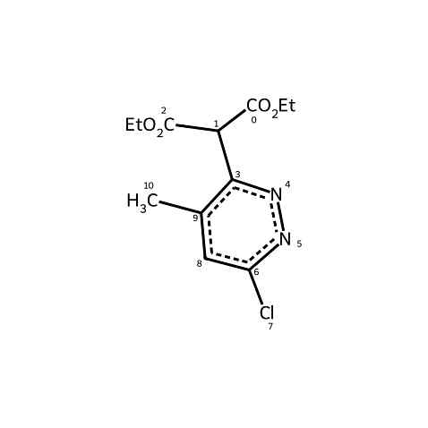 CCOC(=O)C(C(=O)OCC)c1nnc(Cl)cc1C